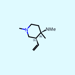 C=C[C@H]1CN(C)CC[C@@]1(C)NC